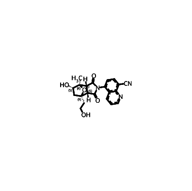 C[C@]12O[C@](CCO)(C[C@@H]1O)[C@H]1C(=O)N(c3ccc(C#N)c4ncccc34)C(=O)[C@H]12